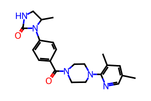 Cc1cnc(N2CCN(C(=O)c3ccc(N4C(=O)NCC4C)cc3)CC2)c(C)c1